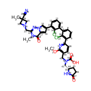 COc1nc(-c2cccc(-c3cccc(-c4cc5c(=O)n(C)c(CN6CC(C)(C#N)C6)nn5c4)c3Cl)c2Cl)ccc1CN(C[C@@H]1CCC(=O)N1)C(=O)O